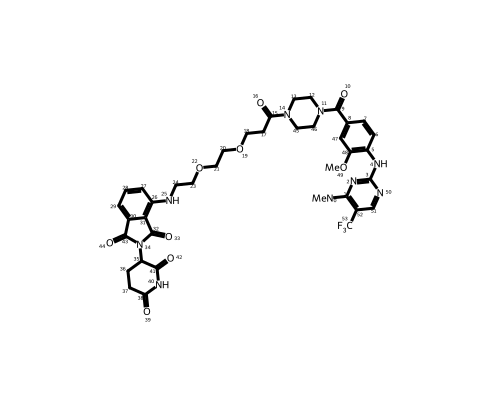 CNc1nc(Nc2ccc(C(=O)N3CCN(C(=O)CCOCCOCCNc4cccc5c4C(=O)N(C4CCC(=O)NC4=O)C5=O)CC3)cc2OC)ncc1C(F)(F)F